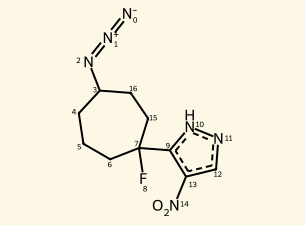 [N-]=[N+]=NC1CCCC(F)(c2[nH]ncc2[N+](=O)[O-])CC1